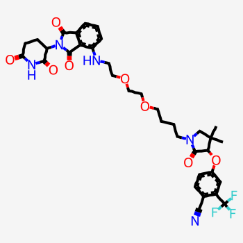 CC1(C)CN(CCCCOCCOCCNc2cccc3c2C(=O)N(C2CCC(=O)NC2=O)C3=O)C(=O)C1Oc1ccc(C#N)c(C(F)(F)F)c1